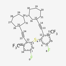 Fc1cc(Sc2cc(F)cc(C(F)(F)F)c2C#CC2CCCCCC2)c(C#CC2CCCCCC2)c(C(F)(F)F)c1